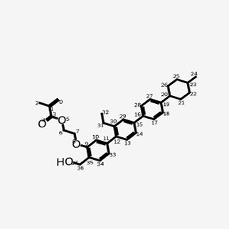 C=C(C)C(=O)OCCOc1cc(-c2ccc(-c3ccc(C4CCC(C)CC4)cc3)cc2CC)ccc1CO